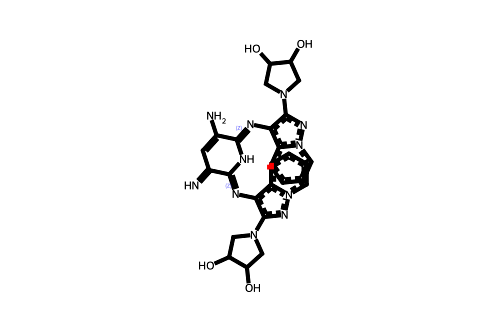 N=C1C=C(N)/C(=N/c2c(N3CC(O)C(O)C3)nn3ccccc23)N/C1=N\c1c(N2CC(O)C(O)C2)nn2ccccc12